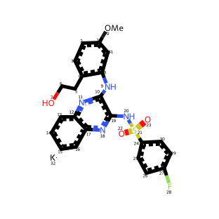 COc1ccc(CCO)c(Nc2nc3ccccc3nc2NS(=O)(=O)c2ccc(F)cc2)c1.[K]